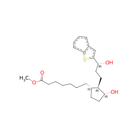 COC(=O)CCCCCC[C@H]1CC[C@@H](O)[C@@H]1CC[C@@H](O)c1cc2ccccc2s1